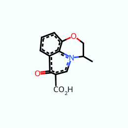 CC1COc2cccc3c(=O)c(C(=O)O)cn1c23